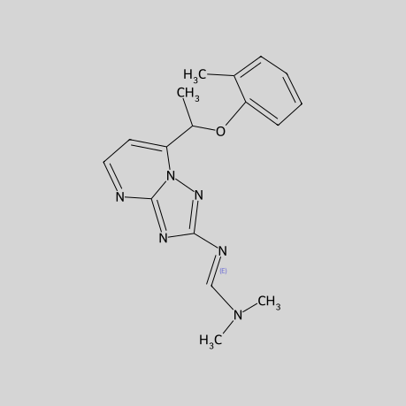 Cc1ccccc1OC(C)c1ccnc2nc(/N=C/N(C)C)nn12